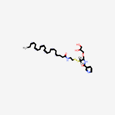 CC/C=C\C/C=C\C/C=C\C/C=C\C/C=C\C/C=C\CCC(=O)NCCSSC(C)(C)C(COCC(O)CO)NC(=O)c1cccnc1